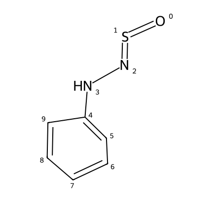 O=S=NNc1ccccc1